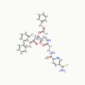 NC(=S)c1ccc(C(=O)NCCC(=O)N[C@@H](CC(=O)OCc2ccccc2)C(=O)N[C@@H](Cc2ccccc2)C(=O)OCc2ccccc2)nc1